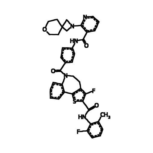 Cc1cccc(F)c1NC(=O)c1sc2c(c1F)CCN(C(=O)c1ccc(NC(=O)c3cccnc3N3CC4(CCOCC4)C3)cc1)c1ccccc1-2